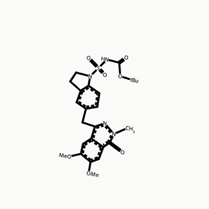 COc1cc2c(Cc3ccc4c(c3)CCN4S(=O)(=O)NC(=O)OC(C)(C)C)nn(C)c(=O)c2cc1OC